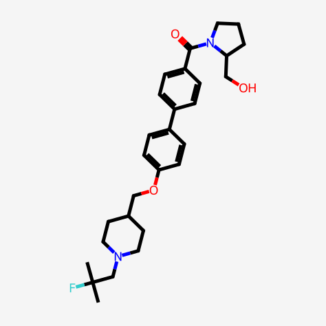 CC(C)(F)CN1CCC(COc2ccc(-c3ccc(C(=O)N4CCCC4CO)cc3)cc2)CC1